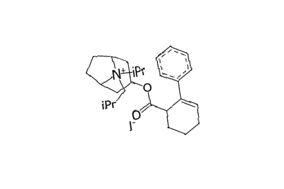 CC(C)C[N+]1(C(C)C)C2CCC1CC(OC(=O)C1CCCC=C1c1ccccc1)C2.[I-]